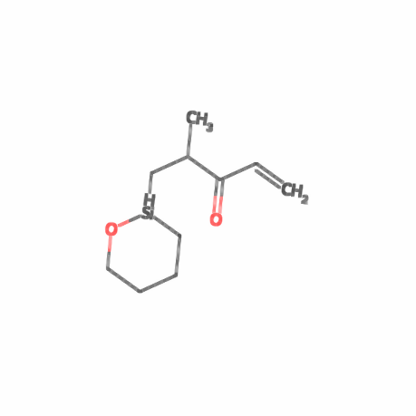 C=CC(=O)C(C)C[SiH]1CCCCO1